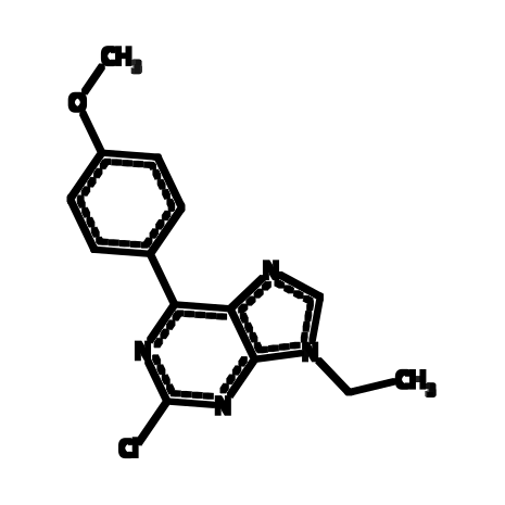 CCn1cnc2c(-c3ccc(OC)cc3)nc(Cl)nc21